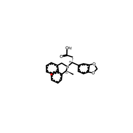 C[C@@H](c1ccccc1)N(Cc1ccccc1)[C@H](CC(=O)O)c1ccc2c(c1)OCO2